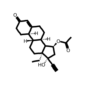 C#C[C@]1(O)C[C@H](OC(C)=O)C2[C@@H]3CCC4=CC(=O)CC[C@@H]4[C@H]3CC[C@@]21CC